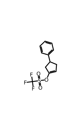 O=S(=O)(OC1=CCC(c2ccccc2)C1)C(F)(F)F